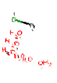 O.O.O.O.O.O.[Cl][Pr]